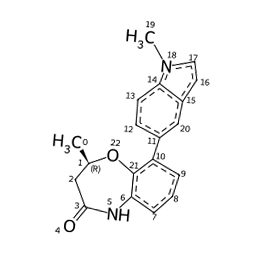 C[C@@H]1CC(=O)Nc2cccc(-c3ccc4c(ccn4C)c3)c2O1